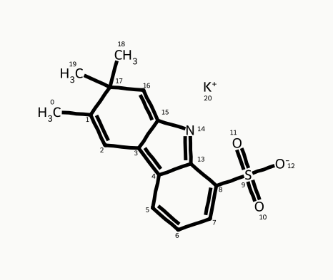 CC1=CC2=c3cccc(S(=O)(=O)[O-])c3=NC2=CC1(C)C.[K+]